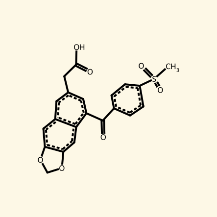 CS(=O)(=O)c1ccc(C(=O)c2cc(CC(=O)O)cc3cc4c(cc23)OCO4)cc1